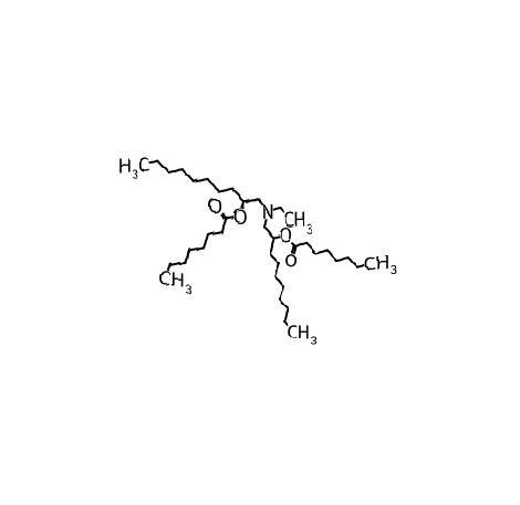 CCCCCCCCC(CN(CC)CC(CCCCCCCC)OC(=O)CCCCCCC)OC(=O)CCCCCCC